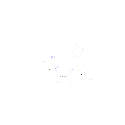 CC(C)C[C@H](N)C(=O)N[C@H](C(=O)N[C@@H](Cc1cnc[nH]1)C(=O)O)C(C)C